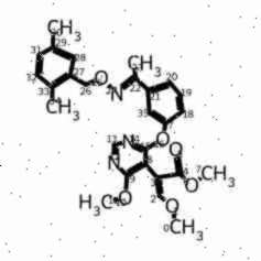 COC=C(C(=O)OC)c1c(OC)ncnc1Oc1cccc(C(C)=NOCc2cc(C)ccc2C)c1